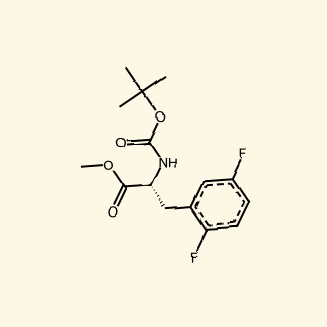 COC(=O)[C@@H](Cc1cc(F)ccc1F)NC(=O)OC(C)(C)C